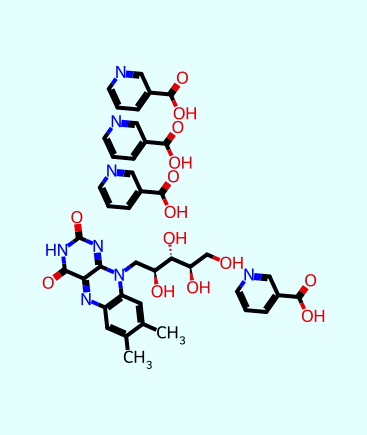 Cc1cc2nc3c(=O)[nH]c(=O)nc-3n(C[C@H](O)[C@H](O)[C@H](O)CO)c2cc1C.O=C(O)c1cccnc1.O=C(O)c1cccnc1.O=C(O)c1cccnc1.O=C(O)c1cccnc1